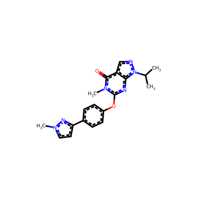 CC(C)n1ncc2c(=O)n(C)c(Oc3ccc(-c4ccn(C)n4)cc3)nc21